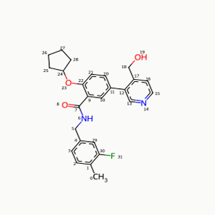 Cc1ccc(CNC(=O)c2cc(-c3cnccc3CO)ccc2OC2CCCC2)cc1F